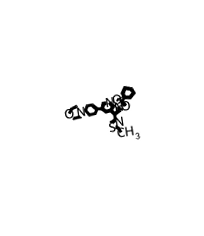 Cc1nc(-c2cn(S(=O)(=O)c3ccccc3)c3ncc(C4=CCC(N5CCOCC5)CC4)cc23)cs1